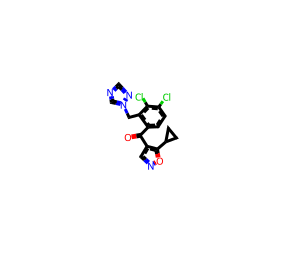 O=C(c1cnoc1C1CC1)c1ccc(Cl)c(Cl)c1Cn1cncn1